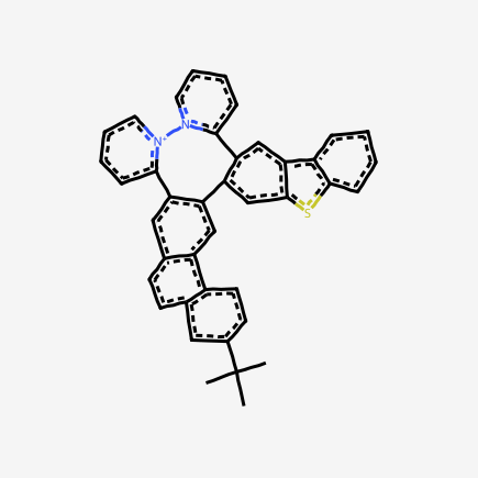 CC(C)(C)c1ccc2c(ccc3cc4c(cc32)-c2cc3sc5ccccc5c3cc2-c2cccc[n+]2-[n+]2ccccc2-4)c1